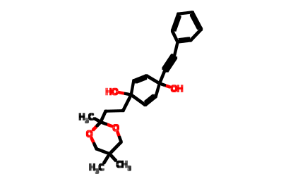 CC1(C)COC(C)(CCC2(O)C=CC(O)(C#Cc3ccccc3)C=C2)OC1